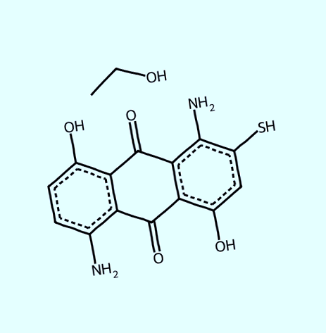 CCO.Nc1ccc(O)c2c1C(=O)c1c(O)cc(S)c(N)c1C2=O